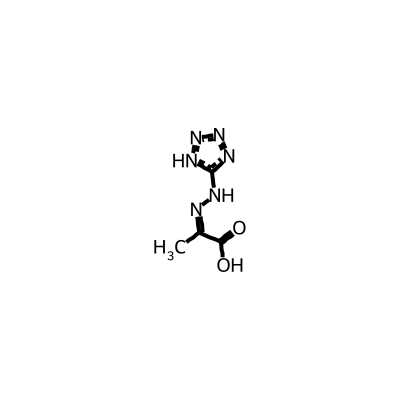 CC(=NNc1nnn[nH]1)C(=O)O